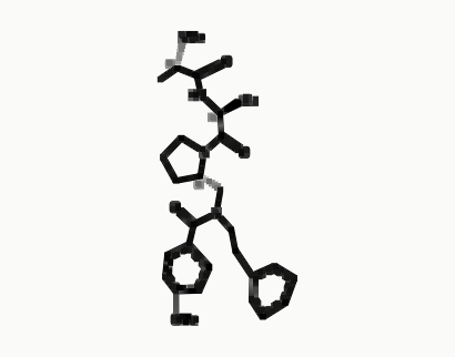 CN[C@@H](C)C(=O)N[C@H](C(=O)N1CCC[C@H]1CN(CCc1ccccc1)C(=O)c1ccc(OC)cc1)C(C)(C)C